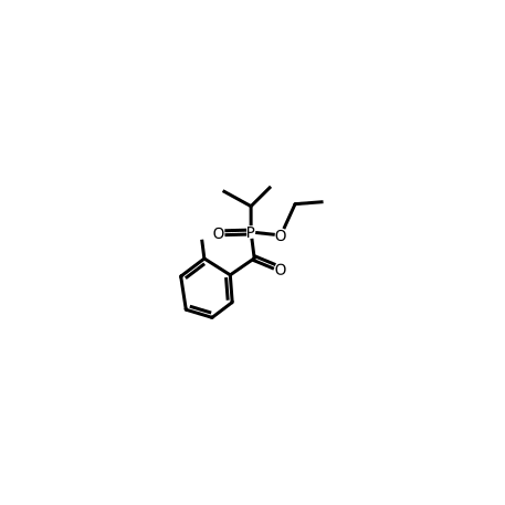 CCOP(=O)(C(=O)c1ccccc1C)C(C)C